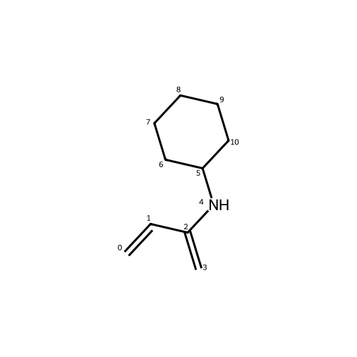 C=CC(=C)NC1CCCCC1